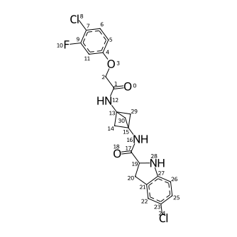 O=C(COc1ccc(Cl)c(F)c1)NC12CC(NC(=O)C3Cc4cc(Cl)ccc4N3)(C1)C2